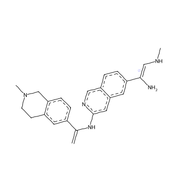 C=C(Nc1cc2cc(/C(N)=C/NC)ccc2cn1)c1ccc2c(c1)CCN(C)C2